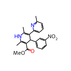 COC(=O)C1=C(C)NC(C)=C(c2cccc(C)n2)C1c1cccc([N+](=O)[O-])c1